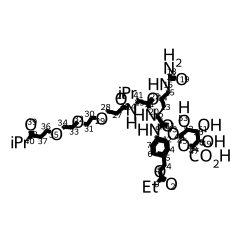 CCC(=O)OCc1ccc(NC(=O)[C@H](CCCNC(N)=O)NC(=O)[C@@H](NC(=O)CCOCCOCCOCCC(=O)C(C)C)C(C)C)c(O[C@@H]2O[C@H](C(=O)O)[C@@H](O)[C@H](O)[C@H]2O)c1